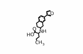 CCCC(NC1CCc2ccc(-c3ccoc3)cc2C1)C(=O)O